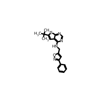 CC(C)(C)c1cc2c(NCc3cc(-c4ccccc4)no3)ncnc2s1